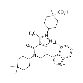 CC1(C)CCC(N(CCc2c[nH]c3cccc(Cl)c23)C(=O)c2cnn([C@H]3CC[C@](C)(C(=O)O)CC3)c2C(F)(F)F)CC1